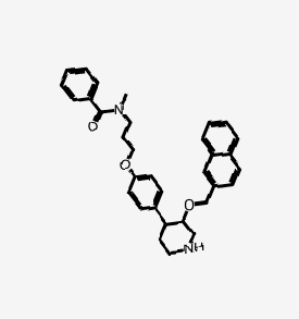 CN(CCCOc1ccc(C2CCNCC2OCc2ccc3ccccc3c2)cc1)C(=O)c1ccccc1